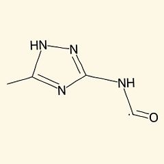 Cc1nc(N[C]=O)n[nH]1